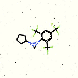 FC(F)(F)c1cc(C(F)(F)F)c(N2CN2C2CCCC2)c(C(F)(F)F)c1